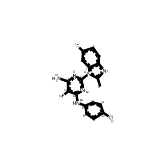 Cc1nc2ccc(F)cc2n1-c1nc(N)c(F)c(Nc2ccc(Cl)cc2)n1